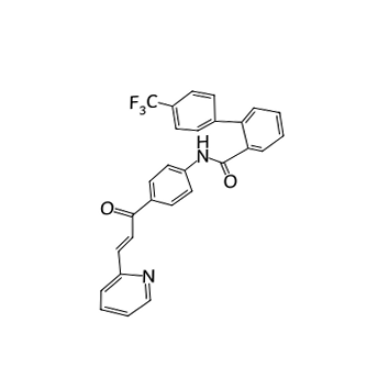 O=C(/C=C/c1ccccn1)c1ccc(NC(=O)c2ccccc2-c2ccc(C(F)(F)F)cc2)cc1